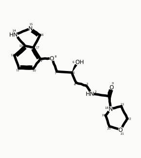 O=C(NCC[C@H](O)COc1cccc2[nH]ncc12)N1CCOCC1